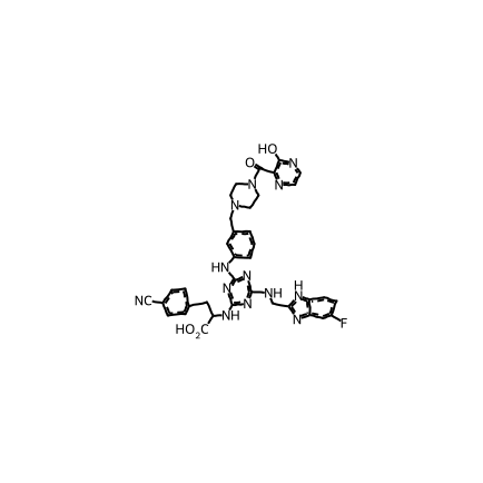 N#Cc1ccc(CC(Nc2nc(NCc3nc4cc(F)ccc4[nH]3)nc(Nc3cccc(CN4CCN(C(=O)c5nccnc5O)CC4)c3)n2)C(=O)O)cc1